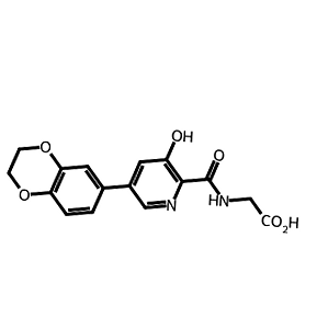 O=C(O)CNC(=O)c1ncc(-c2ccc3c(c2)OCCO3)cc1O